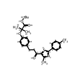 Cc1nc(-c2ccc(C(F)(F)F)cc2)sc1C(=O)CCc1ccc(OC(C)(C)C(=O)OC(C)(C)C)cc1